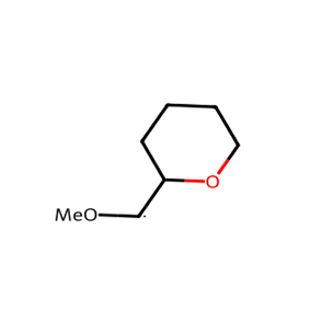 CO[CH]C1CCCCO1